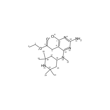 CCOC(=O)Cc1c(Cl)nc(N)nc1N(C)C1CC(C)(C)NC(C)(C)C1